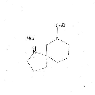 Cl.O=CN1CCCC2(CCCN2)C1